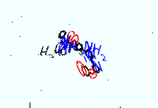 Cc1c(C(=O)Nc2ccc(-c3nc(-c4cc(OC5CCOCC5)ccn4)cnc3N)cc2)c(=O)n(-c2ccccc2)n1C